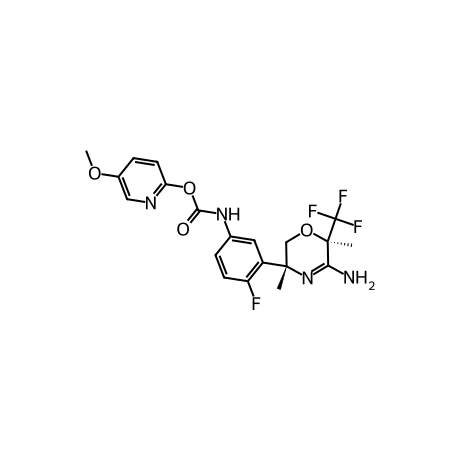 COc1ccc(OC(=O)Nc2ccc(F)c([C@]3(C)CO[C@@](C)(C(F)(F)F)C(N)=N3)c2)nc1